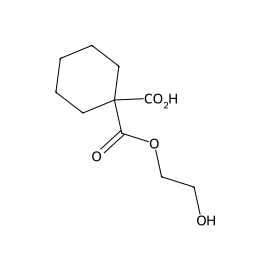 O=C(O)C1(C(=O)OCCO)CCCCC1